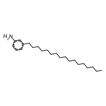 CCCCCCCCCCCCCCCCCc1cccc(N)c1